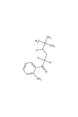 Cc1ccccc1C(=O)C(F)(F)CC(I)[Si](C)(C)C